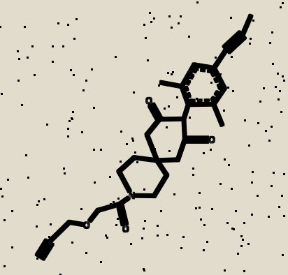 C#CCOCC(=O)N1CCC2(CC1)CC(=O)C(c1c(C)cc(C#CC)cc1C)C(=O)C2